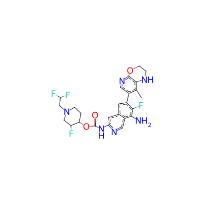 Cc1c(-c2cc3cc(NC(=O)OC4CCN(CC(F)F)CC4F)ncc3c(N)c2F)cnc2c1NCCO2